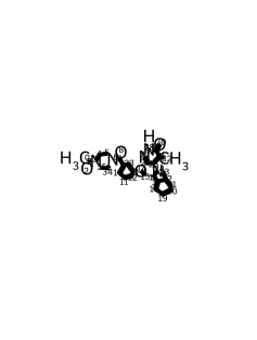 CC(=O)N1CCN(C(=O)c2cccc(OC[C@H]3c4ccccc4CN3c3cn[nH]c(=O)c3C)c2)CC1